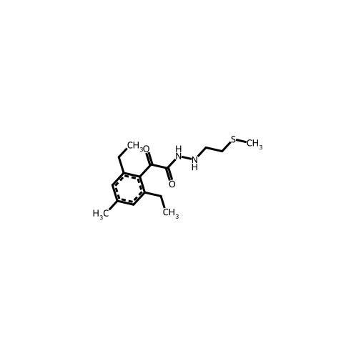 CCc1cc(C)cc(CC)c1C(=O)C(=O)NNCCSC